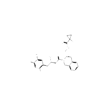 N[C@@H](CC(=O)N1Cc2ccccc2C[C@H]1CNC(=O)C1(C(F)(F)F)CC1)Cc1cc(F)c(F)cc1F